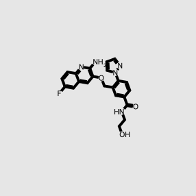 Nc1nc2ccc(F)cc2cc1OCc1cc(C(=O)NCCO)ccc1-n1cccn1